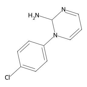 NC1N=CC=CN1c1ccc(Cl)cc1